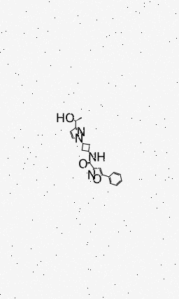 C[C@H](O)c1ccn([C@H]2C[C@H](NC(=O)c3cc(-c4ccccc4)on3)C2)n1